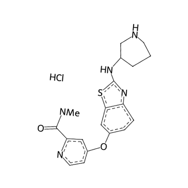 CNC(=O)c1cc(Oc2ccc3nc(NC4CCCNC4)sc3c2)ccn1.Cl